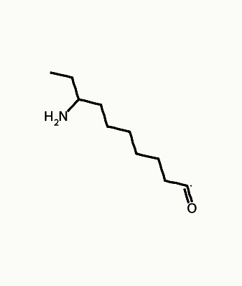 CCC(N)CCCCCC[C]=O